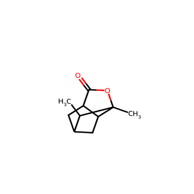 CC1C2CC3C(=O)OC1(C)C3C2